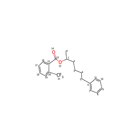 CC(CCCCc1ccccc1)OC(=O)c1ccccc1C(F)(F)F